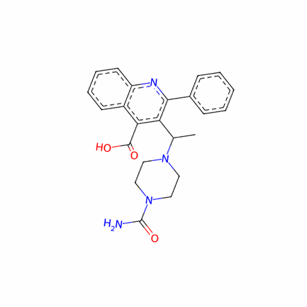 CC(c1c(-c2ccccc2)nc2ccccc2c1C(=O)O)N1CCN(C(N)=O)CC1